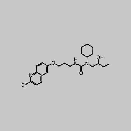 CCC(O)CN(C(=O)NCCCOc1ccc2nc(Cl)ccc2c1)C1CCCCC1